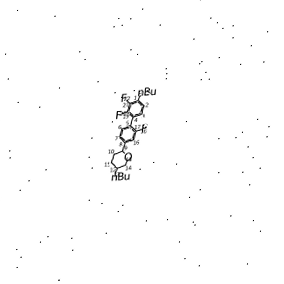 CCCCc1ccc(-c2ccc(C3CCC(CCCC)CO3)cc2F)c(F)c1F